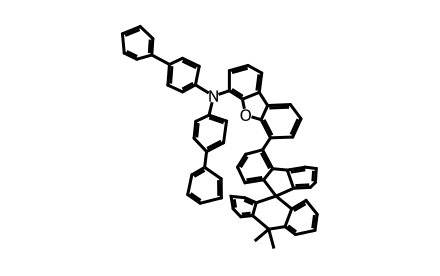 CC1(C)c2ccccc2C2(c3ccccc3-c3c(-c4cccc5c4oc4c(N(c6ccc(-c7ccccc7)cc6)c6ccc(-c7ccccc7)cc6)cccc45)cccc32)c2ccccc21